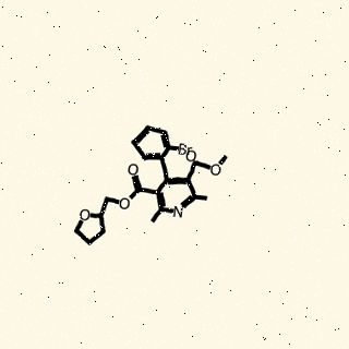 COC(=O)c1c(C)nc(C)c(C(=O)OCC2CCCO2)c1-c1ccccc1Br